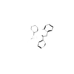 O=C(Cc1ccccc1O)c1ccccc1.O=C(O)NC1CCCCC1